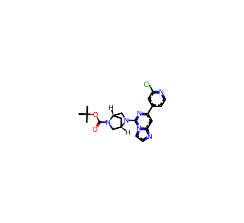 CC(C)(C)OC(=O)N1C[C@@H]2C[C@H]1CN2c1nc(-c2ccnc(Cl)c2)cc2nccn12